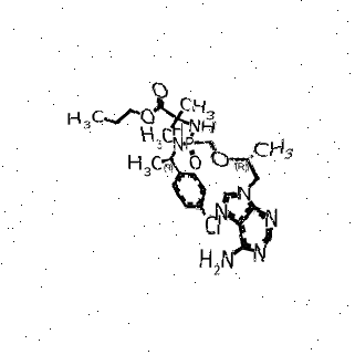 CCCOC(=O)C(C)(C)NP(=O)(CO[C@H](C)Cn1cnc2c(N)ncnc21)N[C@H](C)c1ccc(Cl)cc1